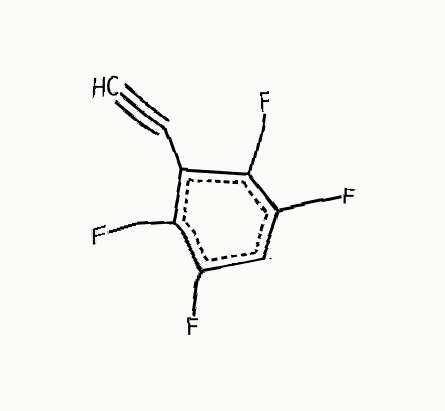 C#Cc1c(F)c(F)[c]c(F)c1F